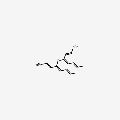 CC=CC=C(C=CCCC)OC(C=CCCC)=CC=CC